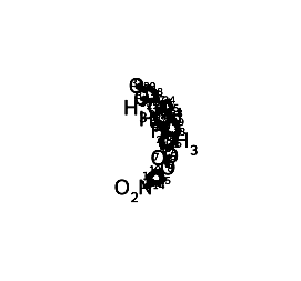 C[C@]12CC[C@H](OC(=O)Oc3ccc([N+](=O)[O-])cc3)CC1CC[C@@H]1[C@@H]2CC[C@]2(C)[C@@H](c3ccc(=O)oc3)CC[C@]12O